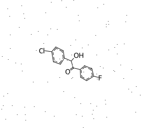 O=C(c1ccc(F)cc1)C(O)c1ccc(Cl)cc1